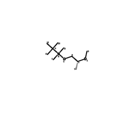 CO[C@H](C)CO[Si](C)(C)C(C)(C)C